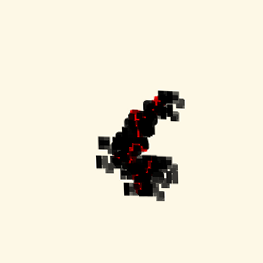 N=C(N)NCCC[C@H](NC(=O)[C@H](CCCNC(=N)N)NC(=O)CNC(=O)CNC(=O)[C@H](CCCCN)NC(=O)[C@H](CCC(N)=O)NC(=O)[C@@H]1CCCN1C(=O)CNC(=O)CNC(=O)[C@@H]1CCCN1C(=O)[C@H](Cc1c[nH]cn1)NC(=O)CNC(=O)[C@@H](N)CCCCN)C(=O)O